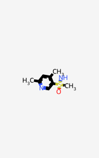 Cc1cc(C)c(S(C)(=N)=O)cn1